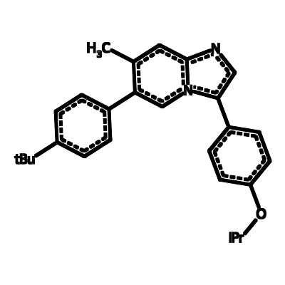 Cc1cc2ncc(-c3ccc(OC(C)C)cc3)n2cc1-c1ccc(C(C)(C)C)cc1